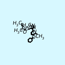 CCCCN(C)C(=O)OCc1c(-c2ccc(OC3CCCCC3)c(CC)n2)nnn1C